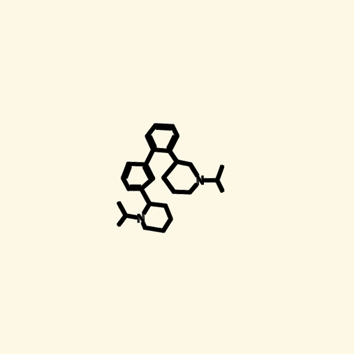 CC(C)N1CCCC(c2ccccc2-c2cccc(C3CCCCN3C(C)C)c2)C1